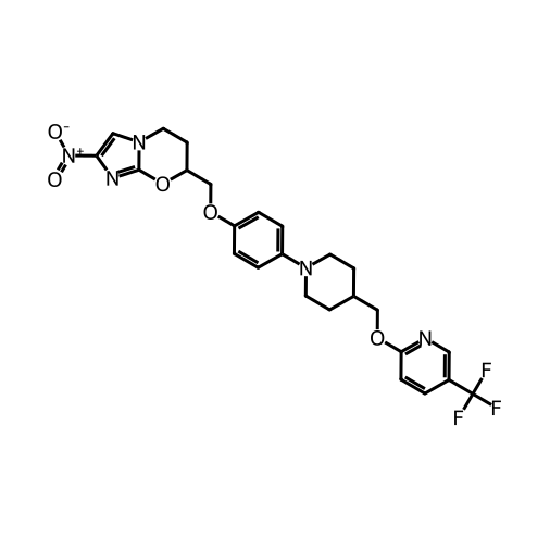 O=[N+]([O-])c1cn2c(n1)OC(COc1ccc(N3CCC(COc4ccc(C(F)(F)F)cn4)CC3)cc1)CC2